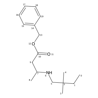 CCC(C)(C)CNC(C)CC(=O)OCc1ccccc1